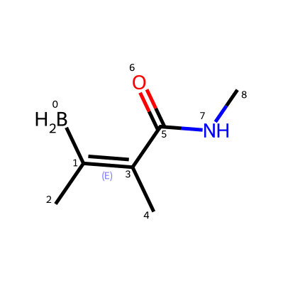 B/C(C)=C(/C)C(=O)NC